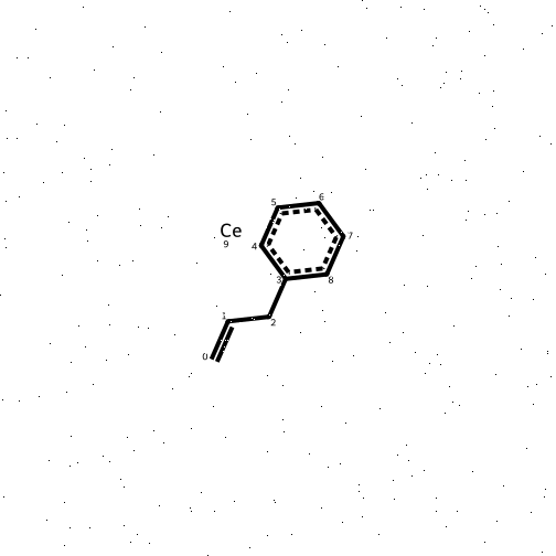 C=CCc1ccccc1.[Ce]